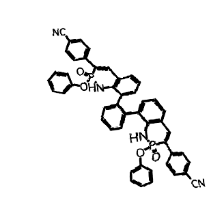 N#Cc1ccc(C2=Cc3cccc(-c4ccccc4-c4cccc5c4NP(=O)(Oc4ccccc4)C(c4ccc(C#N)cc4)=C5)c3NP2(=O)Oc2ccccc2)cc1